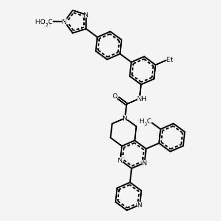 CCc1cc(NC(=O)N2CCc3nc(-c4cccnc4)nc(-c4ccccc4C)c3C2)cc(-c2ccc(-c3cn(C(=O)O)cn3)cc2)c1